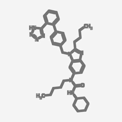 CCCCCN(C(=O)NC1CCCCC1)c1ccc2nc(CCCC)n(Cc3ccc(-c4ccccc4-c4nnn[nH]4)cc3)c2c1